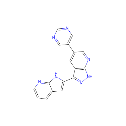 c1cnc2[nH]c(-c3n[nH]c4ncc(-c5cncnc5)cc34)cc2c1